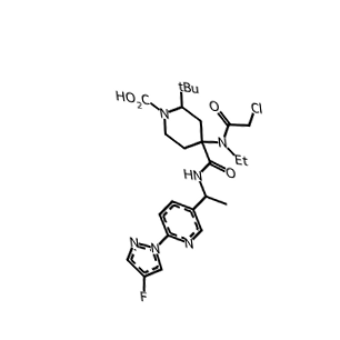 CCN(C(=O)CCl)C1(C(=O)NC(C)c2ccc(-n3cc(F)cn3)nc2)CCN(C(=O)O)C(C(C)(C)C)C1